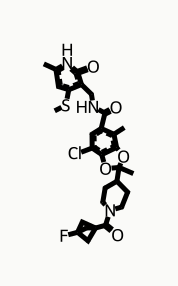 CSc1cc(C)[nH]c(=O)c1CNC(=O)c1cc(Cl)c2c(c1C)OC(C)(C1CCN(C(=O)C34CC(F)(C3)C4)CC1)O2